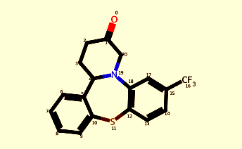 O=C1CCC2c3ccccc3Sc3ccc(C(F)(F)F)cc3N2C1